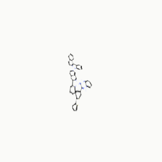 c1ccc2c(c1)ccc1c2c2ccccc2n1-c1ccc2cc3c4ccccc4n(-c4nc5ccccc5nc4-c4ccc5c(c4)sc4ccccc45)c3cc2c1